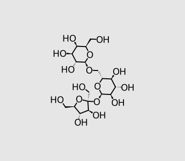 OC[C@H]1O[C@@H](OC[C@H]2O[C@H](O[C@]3(CO)O[C@H](CO)[C@@H](O)[C@@H]3O)[C@H](O)[C@@H](O)[C@@H]2O)[C@H](O)[C@@H](O)[C@H]1O